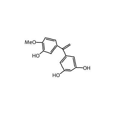 C=C(c1cc(O)cc(O)c1)c1ccc(OC)c(O)c1